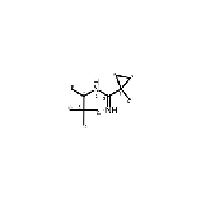 CC(NC(=N)C1(C)CC1)C(C)(C)C